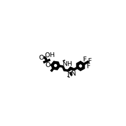 CNC(Cc1cc(-c2ccc(C(F)(F)F)cc2)nn1C)c1ccc(OC(C)(C)C(=O)O)c(C)c1